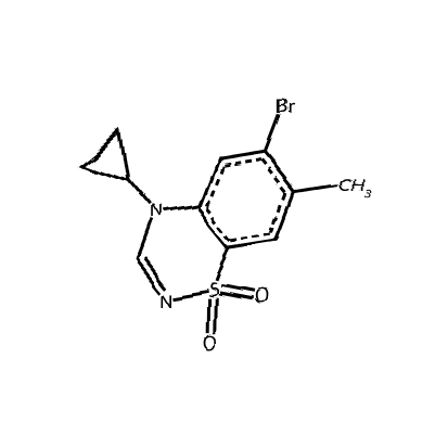 Cc1cc2c(cc1Br)N(C1CC1)C=NS2(=O)=O